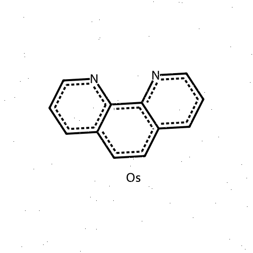 [Os].c1cnc2c(c1)ccc1cccnc12